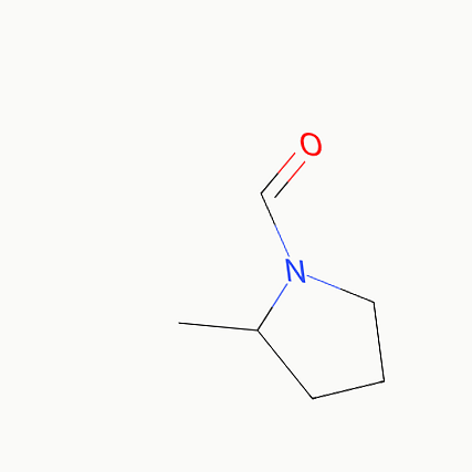 CC1CCCN1C=O